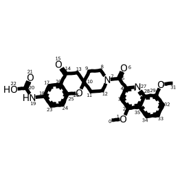 COc1cc(C(=O)N2CCC3(CC2)CC(=O)c2cc(NC(=O)O)ccc2O3)nc2c(OC)cccc12